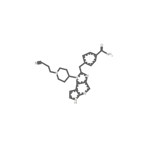 N#CCCN1CCC(n2c(Cc3ccc(C(N)=O)cc3)nc3cnc4[nH]ccc4c32)CC1